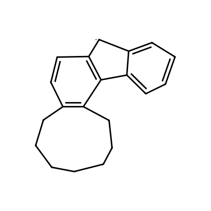 [CH]1c2ccccc2-c2c1ccc1c2CCCCCCC1